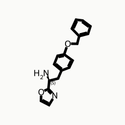 N[C@@H](Cc1ccc(OCc2ccccc2)cc1)c1ncco1